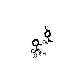 COC(=O)C(=NO)c1ccccc1CON=C(C)c1ccc(Cl)cc1